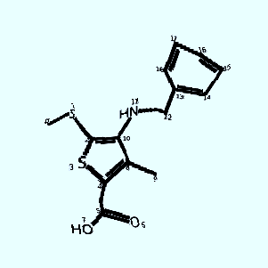 CSc1sc(C(=O)O)c(C)c1NCc1ccccc1